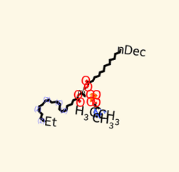 CC/C=C\C/C=C\C/C=C\C/C=C\C/C=C\CCCC(=O)O[C@H](COC(=O)CCCCCCCCCCCCCCCCCCCCC)COP(=O)([O-])OCC[N+](C)(C)C